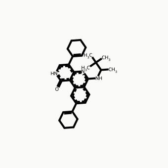 CC(Nc1nc2c(C3=CCCCC3)c[nH]c(=O)c2c2cc(C3=CCCCC3)ccc12)C(C)(C)C